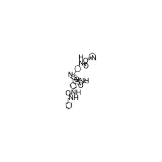 CN1C=C(c2ccc(NC(=O)NCc3ccccc3)cc2S(=O)(=O)NC(C)(C)C)SC1C1CCC(NC(=O)OC[C@H]2CCCN2C)CC1